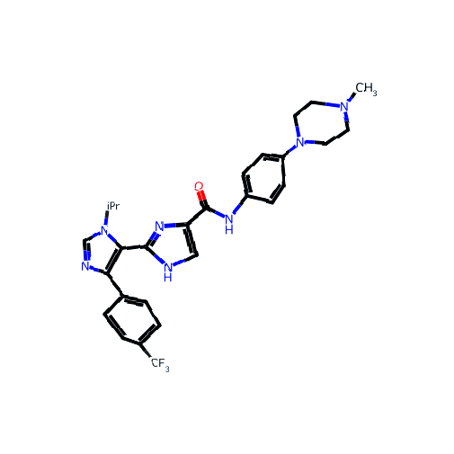 CC(C)n1cnc(-c2ccc(C(F)(F)F)cc2)c1-c1nc(C(=O)Nc2ccc(N3CCN(C)CC3)cc2)c[nH]1